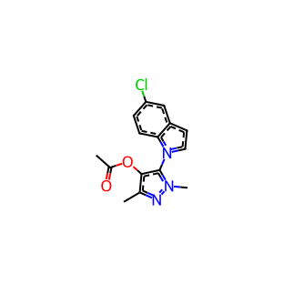 CC(=O)Oc1c(C)nn(C)c1-n1ccc2cc(Cl)ccc21